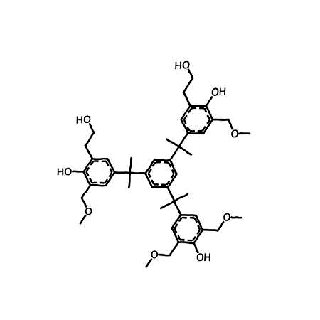 COCc1cc(C(C)(C)c2cc(C(C)(C)c3cc(CCO)c(O)c(COC)c3)cc(C(C)(C)c3cc(COC)c(O)c(COC)c3)c2)cc(CCO)c1O